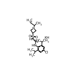 CCC(C)N1CC(S(=O)(=O)NC(=O)Nc2c(C(C)C)cc(Cl)cc2C(C)C)C1.[KH]